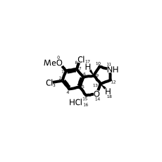 COc1c(Cl)cc2c(c1Cl)[C@@H]1CNC[C@@H]1OC2.Cl